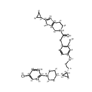 O=C(Cc1ccc(OCC[C@@H]2C[C@@H]2C2CCN(c3ncc(Cl)cn3)CC2)cc1F)N1CCc2nc(C3CC3)sc2C1